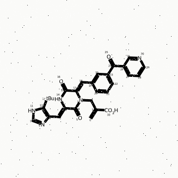 C=C(Cn1c(=O)/c(=C/c2nc[nH]c2C(C)(C)C)[nH]c(=O)/c1=C/c1cccc(C(=O)c2cccnc2)c1)C(=O)O